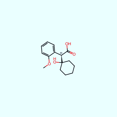 COc1ccccc1[C@@H](C(=O)O)C1(O)CCCCC1